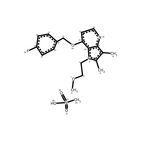 COCCn1c(C)c(C)c2nccc(OCc3ccc(F)cc3)c21.CS(=O)(=O)O